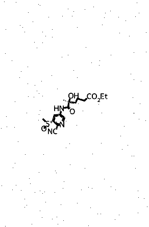 CCOC(=O)CCC[C@](C)(O)C(=O)Nc1cnc(C#N)c([S+](C)[O-])c1